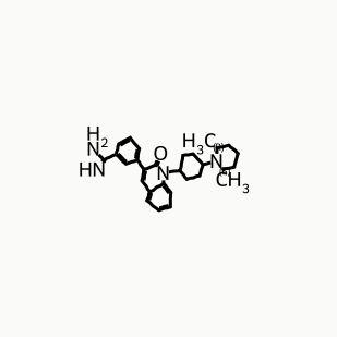 C[C@@H]1CCC[C@H](C)N1C1CCC(n2c(=O)c(-c3cccc(C(=N)N)c3)cc3ccccc32)CC1